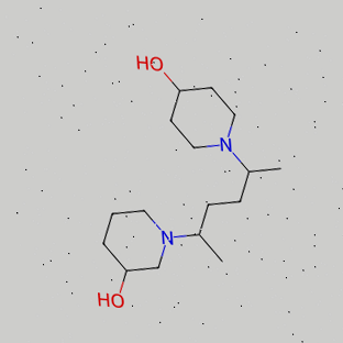 CC(CCC(C)N1CCCC(O)C1)N1CCC(O)CC1